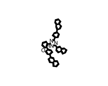 c1ccc2cc(C3=NC(c4ccc(-c5ccc6ccccc6c5)cc4)=NC(c4cccc5oc6cc(-c7ccc8ccccc8c7)ccc6c45)N3)ccc2c1